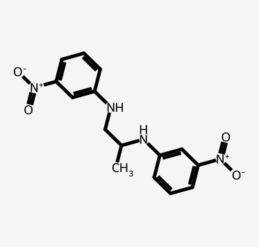 CC(CNc1cccc([N+](=O)[O-])c1)Nc1cccc([N+](=O)[O-])c1